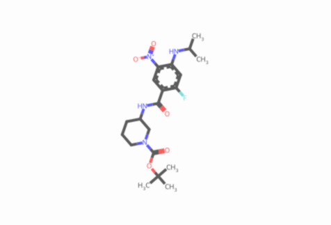 CC(C)Nc1cc(F)c(C(=O)NC2CCCN(C(=O)OC(C)(C)C)C2)cc1[N+](=O)[O-]